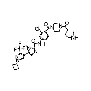 Cn1c(-c2cn(C3CCC3)nc2C(F)(F)F)cnc1C(=O)Nc1ccc(C(=O)N2CCN(C(=O)C3CCNCC3)CC2)c(Cl)c1